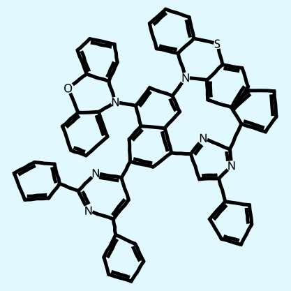 c1ccc(-c2cc(-c3cc(-c4cc(-c5ccccc5)nc(-c5ccccc5)n4)c4cc(N5c6ccccc6Sc6ccccc65)cc(N5c6ccccc6Oc6ccccc65)c4c3)nc(-c3ccccc3)n2)cc1